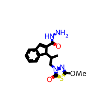 COc1nn(CC(C)C2C(C(=O)NN)=Cc3ccccc32)c(=O)s1